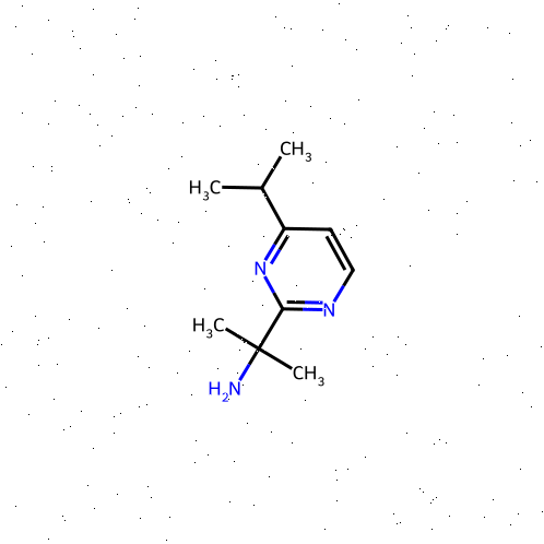 CC(C)c1ccnc(C(C)(C)N)n1